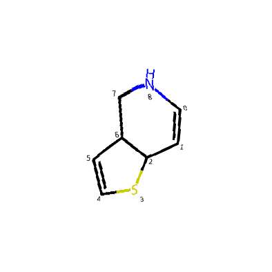 C1=CC2SC=CC2CN1